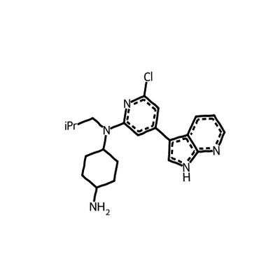 CC(C)CN(c1cc(-c2c[nH]c3ncccc23)cc(Cl)n1)C1CCC(N)CC1